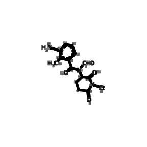 CCN1C(=O)CCC(N(C=O)C(=O)c2cccc(N)c2C)C1=O